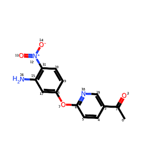 CC(=O)c1ccc(Oc2ccc([N+](=O)[O-])c(N)c2)nc1